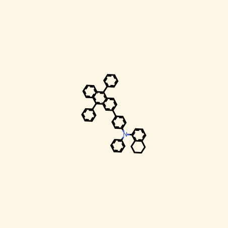 c1ccc(-c2c3ccccc3c(-c3ccccc3)c3cc(-c4ccc(N(c5ccccc5)c5cccc6c5CCCC6)cc4)ccc23)cc1